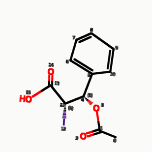 CC(=O)O[C@@H](c1ccccc1)[C@H](I)C(=O)O